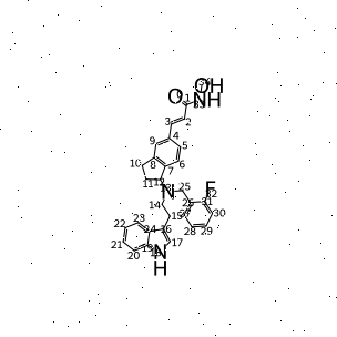 O=C(C=Cc1ccc2c(c1)CCC2N(CCc1c[nH]c2ccccc12)Cc1ccccc1F)NO